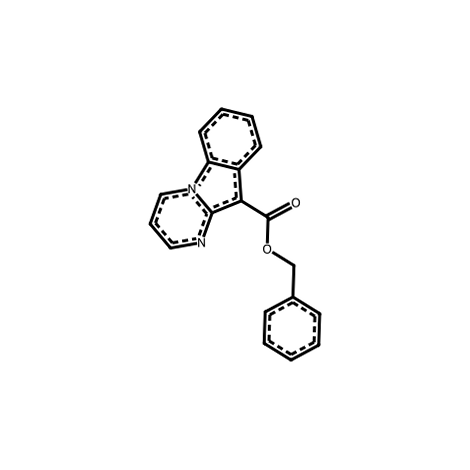 O=C(OCc1ccccc1)c1c2ccccc2n2cccnc12